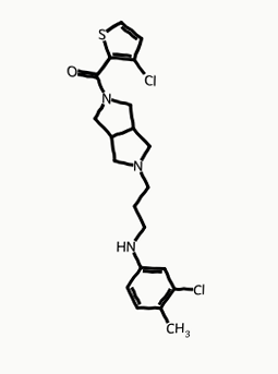 Cc1ccc(NCCCN2CC3CN(C(=O)c4sccc4Cl)CC3C2)cc1Cl